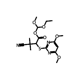 CCOC(OC)OC(=O)C(Sc1nc(OC)cc(OC)n1)C(C)(C)C#N